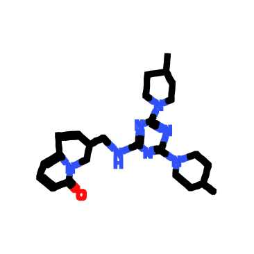 CC1CCN(c2nc(NCC3C=Cc4cccc(=O)n4C3)nc(N3CCC(C)CC3)n2)CC1